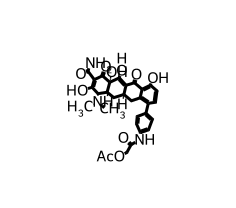 CC(=O)OCC(=O)Nc1ccc(-c2ccc(O)c3c2C[C@H]2C[C@H]4[C@H](N(C)C)C(O)=C(C(N)=O)C(=O)[C@@]4(O)C(O)=C2C3=O)cc1